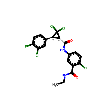 CCNC(=O)c1cc(NC(=O)[C@@H]2[C@@H](c3ccc(F)c(Cl)c3)C2(Cl)Cl)ccc1Cl